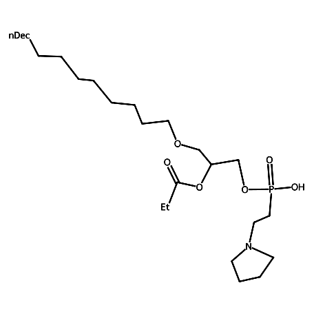 CCCCCCCCCCCCCCCCCCOCC(COP(=O)(O)CCN1CCCC1)OC(=O)CC